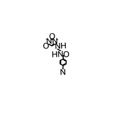 Cn1c(NCCNC(=O)c2ccc(C#N)cc2)cc(=O)n(C)c1=O